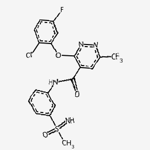 CS(=N)(=O)c1cccc(NC(=O)c2cc(C(F)(F)F)nnc2Oc2cc(F)ccc2Cl)c1